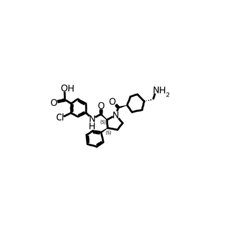 NC[C@H]1CC[C@H](C(=O)N2CC[C@@H](c3ccccc3)[C@H]2C(=O)Nc2ccc(C(=O)O)c(Cl)c2)CC1